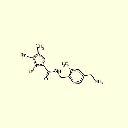 CCn1c(C(=O)NCc2ccc(CN)cc2C)cc(C)c1C(C)C